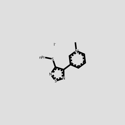 CCCSc1nsnc1-c1ccc[n+](C)c1.[I-]